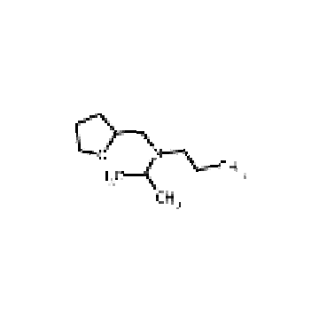 CCCN(CC1CCCO1)C(C)C